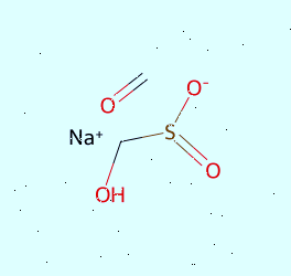 C=O.O=S([O-])CO.[Na+]